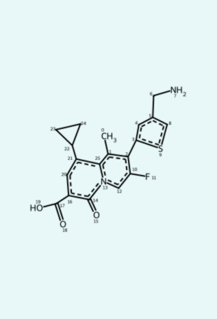 Cc1c(-c2cc(CN)cs2)c(F)cn2c(=O)c(C(=O)O)cc(C3CC3)c12